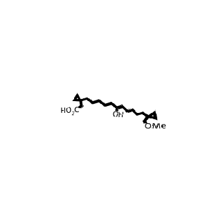 COCC1(CCCCCC(O)CCCCCC2(CC(=O)O)CC2)CC1